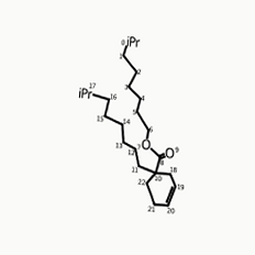 CC(C)CCCCCCOC(=O)C1(CCCCCCC(C)C)CC=CCC1